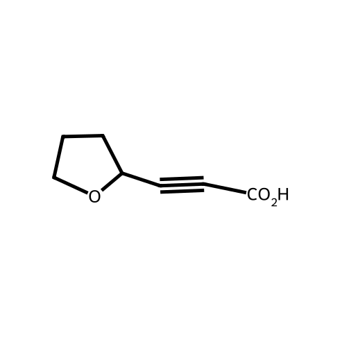 O=C(O)C#CC1CCCO1